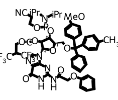 COc1ccc(C(OC[C@H]2O[C@@H](n3cnc4c(=O)[nH]c(NC(=O)COc5ccccc5)nc43)C(OCOCC(C(F)(F)F)C(F)(F)F)[C@H]2OP(OCCC#N)N(C(C)C)C(C)C)(c2ccccc2)c2ccc(C)cc2)cc1